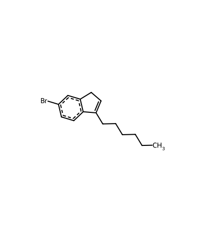 CCCCCCC1=CCc2cc(Br)ccc21